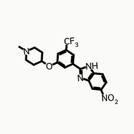 CN1CCC(Oc2cc(-c3nc4cc([N+](=O)[O-])ccc4[nH]3)cc(C(F)(F)F)c2)CC1